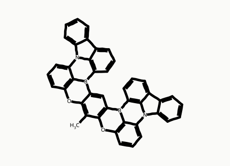 Cc1c2c(cc3c1Oc1cccc4c1B3c1cccc3c5ccccc5n-4c13)B1c3c(cccc3-n3c4ccccc4c4cccc1c43)O2